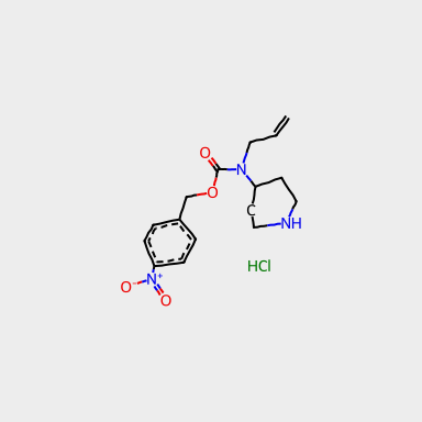 C=CCN(C(=O)OCc1ccc([N+](=O)[O-])cc1)C1CCNCC1.Cl